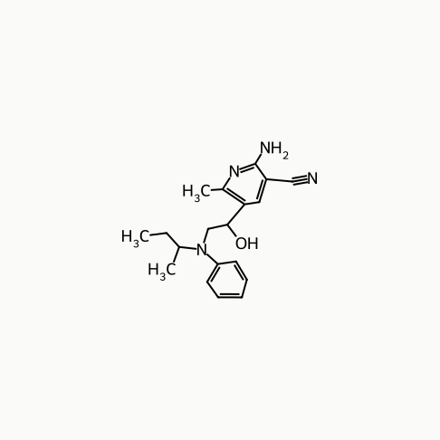 CCC(C)N(CC(O)c1cc(C#N)c(N)nc1C)c1ccccc1